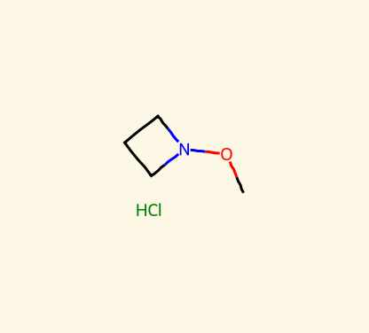 CON1CCC1.Cl